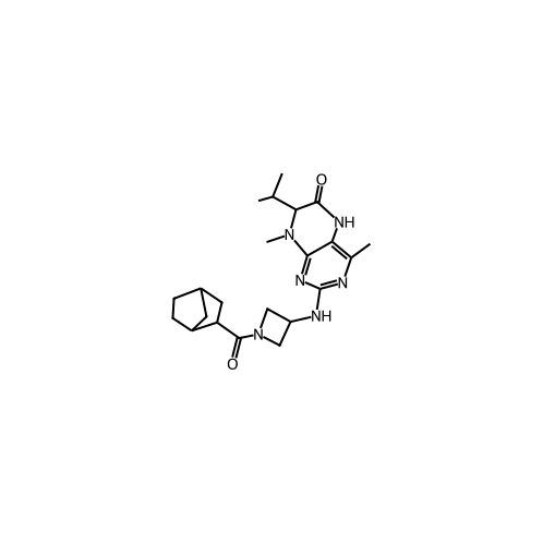 Cc1nc(NC2CN(C(=O)C3CC4CCC3C4)C2)nc2c1NC(=O)C(C(C)C)N2C